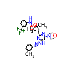 Cc1cccc(/C=N/Nc2cc(N3CCOCC3)nc(CCC(C)(C)OC(=O)Nc3cccc(C(F)(F)F)c3)n2)c1